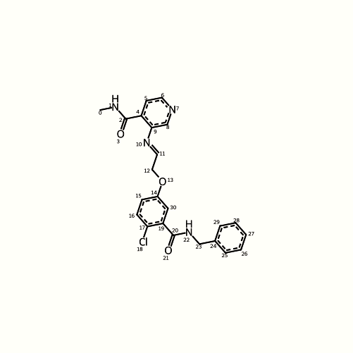 CNC(=O)c1ccncc1/N=C/COc1ccc(Cl)c(C(=O)NCc2ccccc2)c1